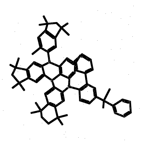 Cc1cc2c(cc1N1c3cc4c(cc3B3c5cc6c(cc5N(c5ccc(C(C)(C)c7ccccc7)cc5-c5ccccc5)c5cc(C(C)(C)C)cc1c53)C(C)(C)CCC6(C)C)C(C)(C)CC4(C)C)C(C)(C)CC2(C)C